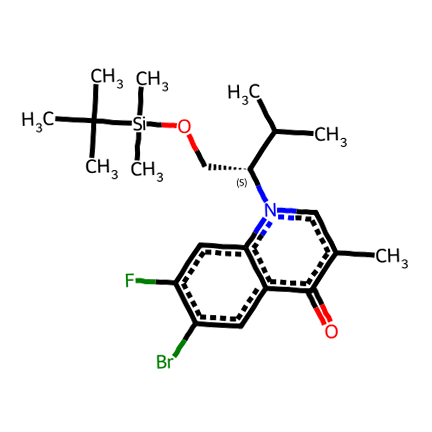 Cc1cn([C@H](CO[Si](C)(C)C(C)(C)C)C(C)C)c2cc(F)c(Br)cc2c1=O